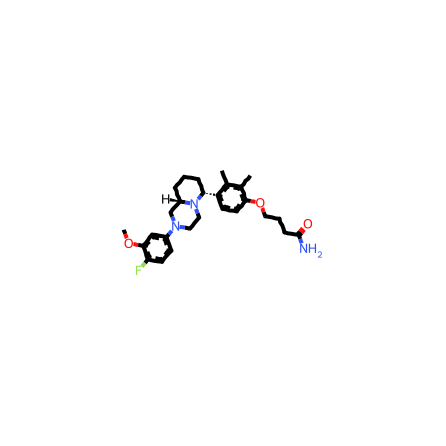 COc1cc(N2CCN3[C@@H](CCC[C@@H]3c3ccc(OCCCC(N)=O)c(C)c3C)C2)ccc1F